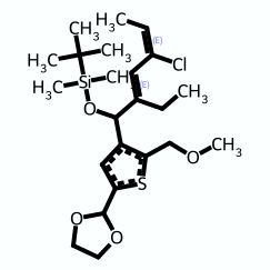 C/C=C(Cl)\C=C(/CC)C(O[Si](C)(C)C(C)(C)C)c1cc(C2OCCO2)sc1COC